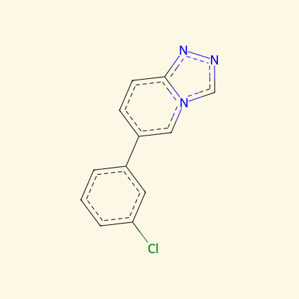 Clc1cccc(-c2ccc3nncn3c2)c1